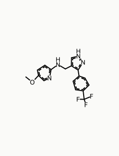 COc1ccc(NCc2c[nH]nc2-c2ccc(C(F)(F)F)cc2)nc1